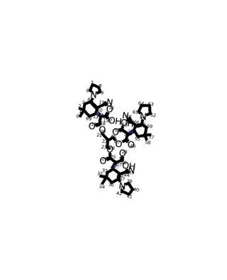 CC1(C)CC(N2CCCC2)=C(C#N)/C(=C(\C(=O)O)C(=O)OCC(COC(=O)/C(C(=O)O)=C2\CC(C)(C)CC(N3CCCC3)=C2C#N)COC(=O)/C(C(=O)O)=C2\CC(C)(C)CC(N3CCCC3)=C2C#N)C1